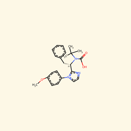 COc1ccc(-n2ccnc2[C@H](Cc2ccccc2)N(C(=O)O)C(C)(C)C)cc1